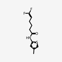 Cc1csc(NC(=O)CCCC=C(F)F)c1